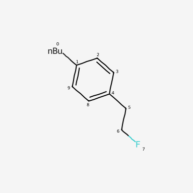 CCCCc1ccc(CCF)cc1